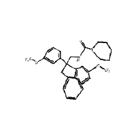 O=C(NCC(Cc1ccccc1)(c1cccc(OC(F)(F)F)c1)c1cccc(OC(F)(F)F)c1)N1CCCCC1